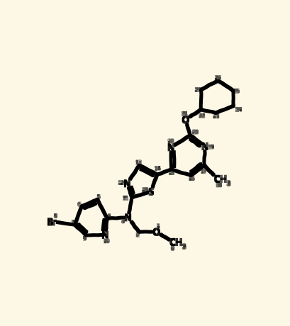 COCN(c1ccc(Br)cn1)c1ncc(-c2cc(C)nc(OC3CCCCC3)n2)s1